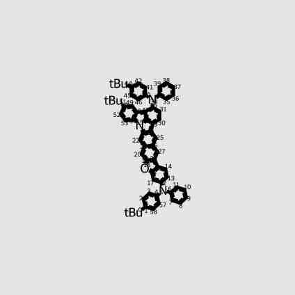 CC(C)(C)c1ccc(N(c2ccccc2)c2ccc3c(c2)oc2cc4cc5c(cc4cc23)c2ccc(N(c3ccccc3)c3ccc(C(C)(C)C)cc3)c3c4cc(C(C)(C)C)ccc4n5c23)cc1